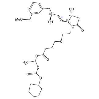 COCc1cccc(C[C@H](O)/C=C/[C@H]2[C@H](O)CC(=O)[C@@H]2CCSCCCC(=O)OC(C)OC(=O)OC2CCCCC2)c1